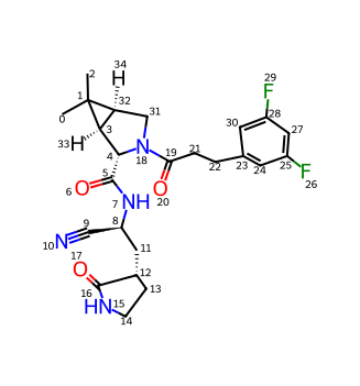 CC1(C)[C@@H]2[C@@H](C(=O)N[C@H](C#N)C[C@@H]3CCNC3=O)N(C(=O)CCc3cc(F)cc(F)c3)C[C@@H]21